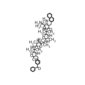 CC(=O)C(Cc1ccc(C(=O)c2ccccc2)cc1)NC(=O)C(C)(C)NC(=O)C(C)NC(=O)C(C)(C)NC(=O)C(C)NC(=O)C(C)(C)NC(=O)C(Cc1ccc2ccccc2c1)NC(=O)C(C)(C)N